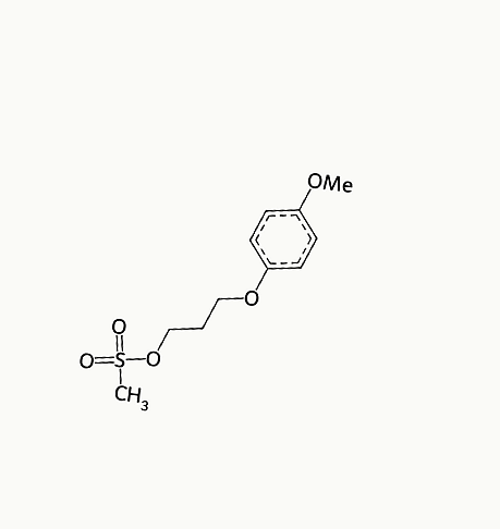 COc1ccc(OCCCOS(C)(=O)=O)cc1